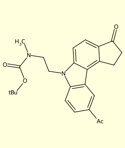 CC(=O)c1ccc2c(c1)c1c3c(ccc1n2CCN(C)C(=O)OC(C)(C)C)C(=O)CC3